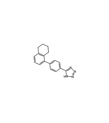 c1cc2c(c(-c3ccc(-c4nnn[nH]4)cc3)c1)CCCC2